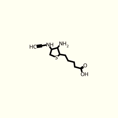 C#CNC1CSC(CCCCC(=O)O)C1N